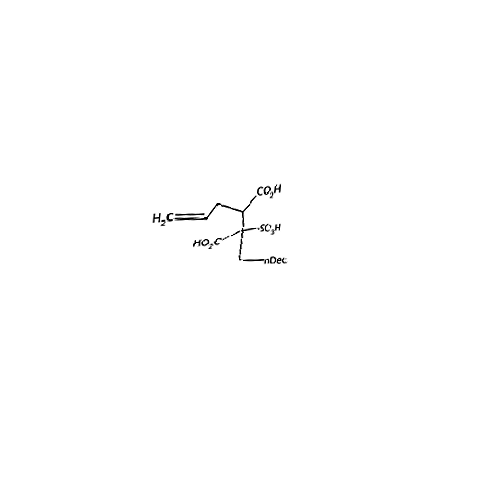 C=CCC(C(=O)O)C(CCCCCCCCCCC)(C(=O)O)S(=O)(=O)O